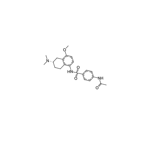 COc1ccc(NS(=O)(=O)c2ccc(NC(C)=O)cc2)c2c1C[C@@H](N(C)C)CC2